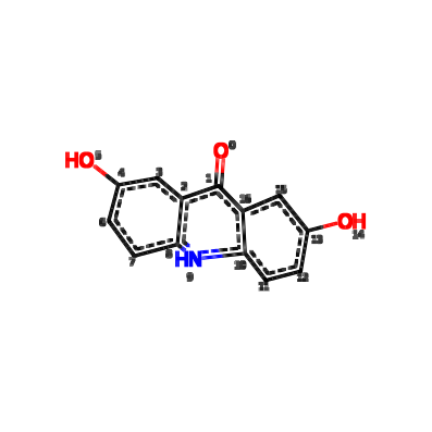 O=c1c2cc(O)ccc2[nH]c2ccc(O)cc12